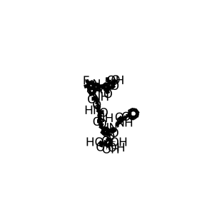 CC[C@@]1(O)C(=O)OCc2c1cc1n(c2=O)Cc2c-1nc1cc(F)c(C)c3c1c2[C@@H](NC(=O)COCNC(=O)CNC(=O)OCc1ccc(O[C@H]2O[C@H](C(=O)O)[C@@H](O)[C@H](O)[C@H]2O)c(C(=O)NCCNC(=O)COC2C#CCCCCC2)c1)CC3